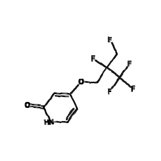 O=c1cc(OCC(F)(CF)C(F)(F)F)cc[nH]1